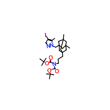 Cc1c(I)cnn1CC12CC3(C)CC(C)(CC(CCCN(C(=O)OC(C)(C)C)C(=O)OC(C)(C)C)(C3)C1)C2